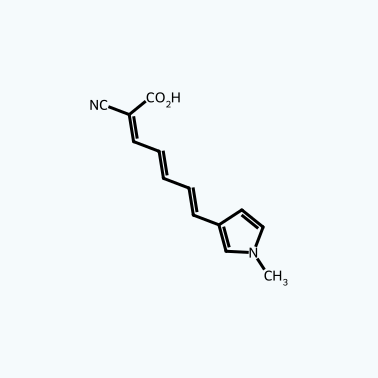 Cn1ccc(C=CC=CC=C(C#N)C(=O)O)c1